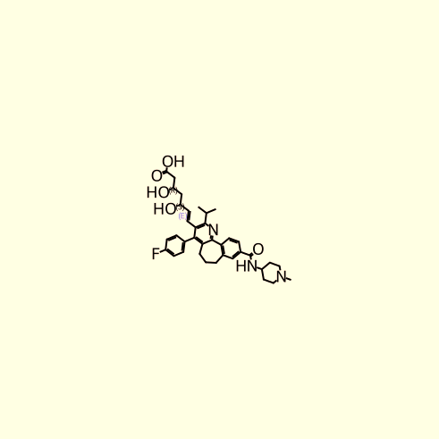 CC(C)c1nc2c(c(-c3ccc(F)cc3)c1/C=C/[C@@H](O)C[C@@H](O)CC(=O)O)CCCc1cc(C(=O)NC3CCN(C)CC3)ccc1-2